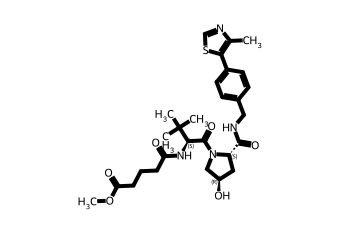 COC(=O)CCCC(=O)N[C@H](C(=O)N1C[C@H](O)C[C@H]1C(=O)NCc1ccc(-c2scnc2C)cc1)C(C)(C)C